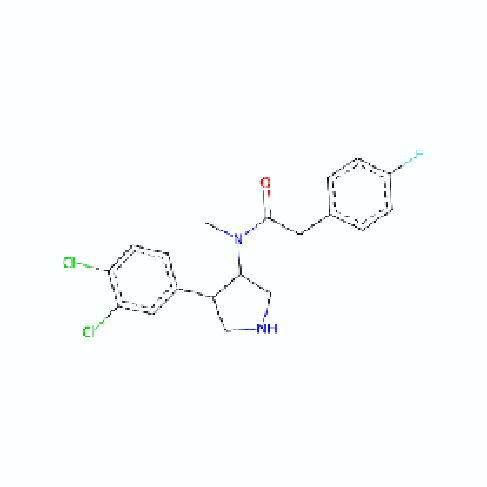 CN(C(=O)Cc1ccc(F)cc1)C1CNCC1c1ccc(Cl)c(Cl)c1